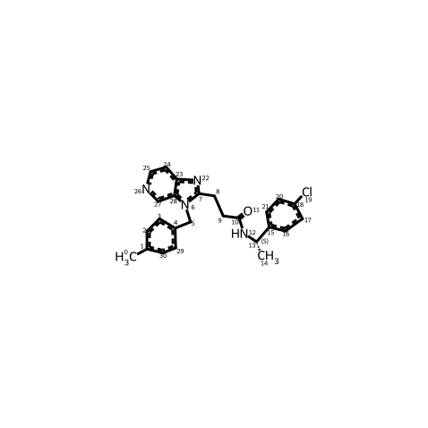 Cc1ccc(Cn2c(CCC(=O)N[C@@H](C)c3ccc(Cl)cc3)nc3ccncc32)cc1